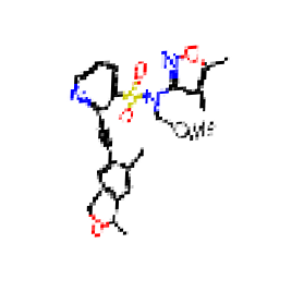 COCN(c1noc(C)c1C)S(=O)(=O)c1cccnc1C#Cc1cc2c(cc1C)C(C)OC2